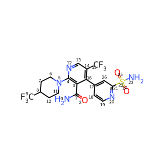 NC(=O)c1c(N2CCC(C(F)(F)F)CC2)ncc(C(F)(F)F)c1-c1ccnc(S(N)(=O)=O)c1